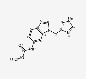 COC(=O)Nc1ccc2ccn(Cc3c[nH]cn3)c2c1